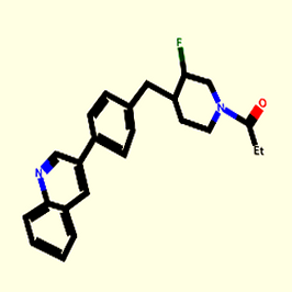 CCC(=O)N1CCC(Cc2ccc(-c3cnc4ccccc4c3)cc2)C(F)C1